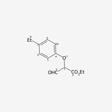 CCOC(=O)C(C=O)Oc1ccc(CC)cc1